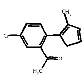 CC(=O)c1cc(Cl)ccc1C1=C(C)C=CC1